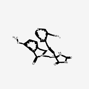 COc1ccc2c(c1)C(=O)N(C[C@@]1(C#Cc3ccncc3N)NC(=O)NC1=O)C2